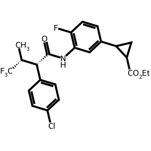 CCOC(=O)C1CC1c1ccc(F)c(NC(=O)[C@H](c2ccc(Cl)cc2)[C@@H](C)C(F)(F)F)c1